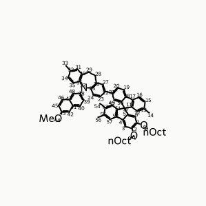 CCCCCCCCOc1cc2c(cc1OCCCCCCCC)C1(c3cc(C)ccc3-c3ccc(-c4ccc5c(c4)CCc4cc(C)ccc4N5c4ccc5cc(OC)ccc5c4)cc31)c1cc(C)c(C)cc1-2